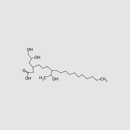 CCCCCCCCCCCC(CCCC(CC(=O)O)CC(O)CO)C(C)O